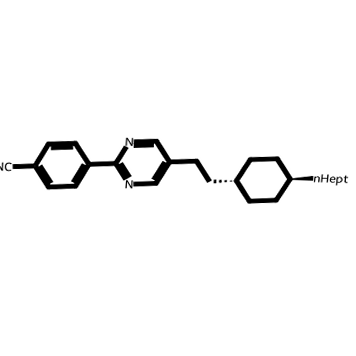 CCCCCCC[C@H]1CC[C@H](CCc2cnc(-c3ccc(C#N)cc3)nc2)CC1